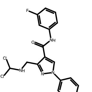 O=C(Nc1cccc(F)c1)c1cn(-c2ccccc2)nc1CNC(Cl)Cl